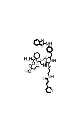 NC(=O)C1(NC(=O)[C@@H](CCCC(=O)O)NC(=O)[C@@H](CCCCNC(=O)/C=C/c2cccnc2)NC(=O)Cc2ccc(Nc3nc4ccccc4s3)cc2)CCCCC1